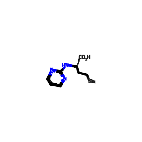 CC(C)(C)CC[C@H](Nc1ncccn1)C(=O)O